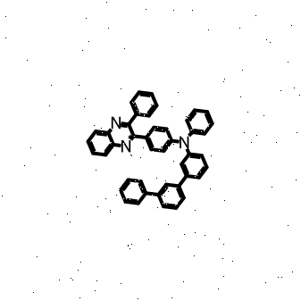 c1ccc(-c2cccc(-c3cccc(N(c4ccccc4)c4ccc(-c5nc6ccccc6nc5-c5ccccc5)cc4)c3)c2)cc1